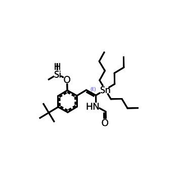 CCC[CH2][Sn]([CH2]CCC)([CH2]CCC)/[C](=C/c1ccc(C(C)(C)C)cc1O[SiH](C)C)NC=O